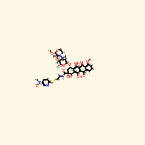 COc1cccc2c1C(=O)c1c(O)c3c(c(O)c1C2=O)C[C@@](O)(C(=O)NCCSSc1ccc([N+](C)=O)cn1)C[C@@H]3O[C@H]1C[C@H]2[C@H](O[C@@H]3[C@@H](OC)OCCN32)[C@H](C)O1